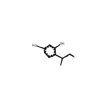 CC(CI)c1ccc(O)cc1O